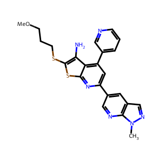 COCCCSc1sc2nc(-c3cnc4c(cnn4C)c3)cc(-c3cccnc3)c2c1N